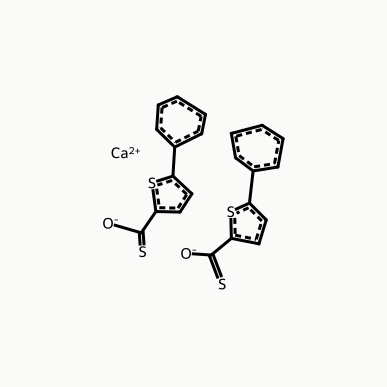 [Ca+2].[O-]C(=S)c1ccc(-c2ccccc2)s1.[O-]C(=S)c1ccc(-c2ccccc2)s1